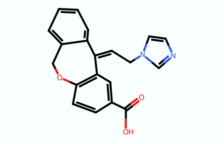 O=C(O)c1ccc2c(c1)/C(=C\Cn1ccnc1)c1ccccc1CO2